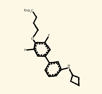 CCOC(=O)CCCOc1c(F)cc(-c2cccc(NC3CCC3)c2)cc1F